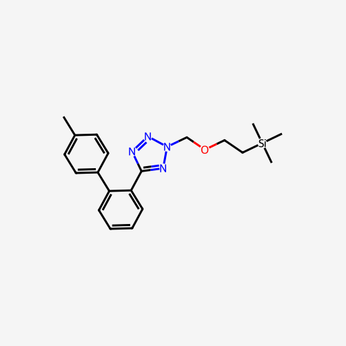 Cc1ccc(-c2ccccc2-c2nnn(COCC[Si](C)(C)C)n2)cc1